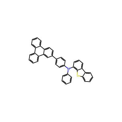 c1ccc(N(c2ccc(-c3ccc4c5ccccc5c5ccccc5c4c3)cc2)c2cccc3c2sc2ccccc23)cc1